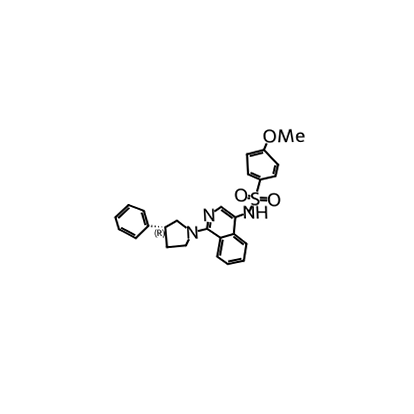 COc1ccc(S(=O)(=O)Nc2cnc(N3CC[C@H](c4ccccc4)C3)c3ccccc23)cc1